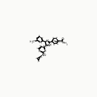 Cc1cccc(-c2nc(C34CCC(C(N)=O)(CC3)CC4)[nH]c2-c2ccnc(NC3CC3)n2)n1